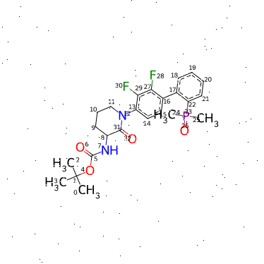 CC(C)(C)OC(=O)NC1CCCN(c2ccc(-c3ccccc3P(C)(C)=O)c(F)c2F)C1=O